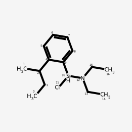 CCC(C)c1ccccc1[SiH](Cl)N(CC)CC